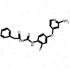 Nc1cc(Oc2ccc(NC(=S)NC(=O)Cc3ccccc3)c(F)c2)ccn1